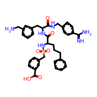 N=C(N)c1ccc(CNC(=O)C(Cc2cccc(CN)c2)NC(=O)C(CCCc2ccccc2)NS(=O)(=O)Cc2cccc(C(=O)O)c2)cc1